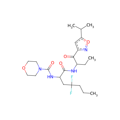 CCCC(F)(F)CC(NC(=O)N1CCOCC1)C(=O)NC(CC)C(=O)c1cc(C(C)C)on1